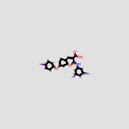 O=C(O)/C(=C/c1ccc(Oc2ccc(I)cc2)cc1)C(=O)Nc1cc(I)cc(I)c1